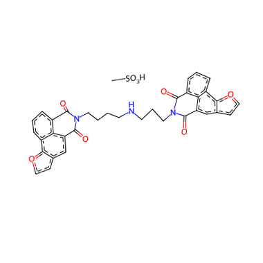 CS(=O)(=O)O.O=C1c2cccc3c2c(cc2ccoc23)C(=O)N1CCCCNCCCN1C(=O)c2cccc3c2c(cc2ccoc23)C1=O